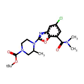 CC1CN(C(=O)OC(C)(C)C)CCN1c1nc2cc(Cl)cc(C(=O)N(C)C)c2o1